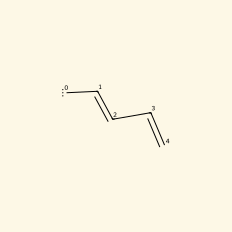 [C]C=CC=C